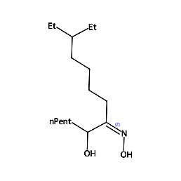 CCCCCC(O)/C(CCCCC(CC)CC)=N\O